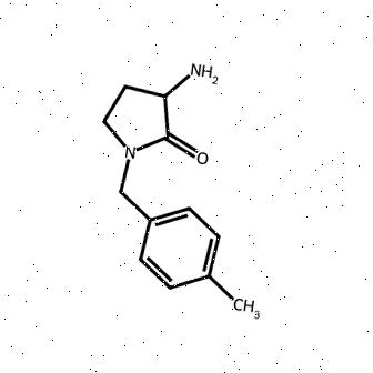 Cc1ccc(CN2CCC(N)C2=O)cc1